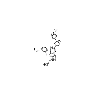 OCCNc1nc2nc([C@@H]3CCO[C@H](c4cnn(C5CC5)c4)C3)nc(-c3ccc(C(F)(F)F)cc3F)c2s1